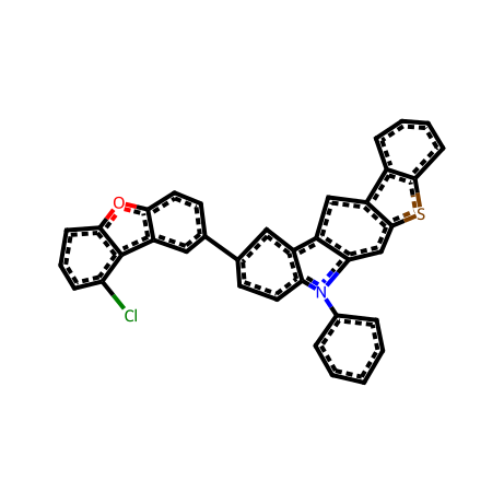 Clc1cccc2oc3ccc(-c4ccc5c(c4)c4cc6c(cc4n5-c4ccccc4)sc4ccccc46)cc3c12